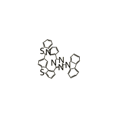 c1ccc(-c2nc(-c3cccc4sc5ccc(-c6nc7ccccc7s6)cc5c34)nc(-n3c4ccccc4c4ccccc43)n2)cc1